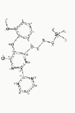 COc1ccccc1Oc1c(Cl)nc(-c2ncccn2)nc1OCCO[Si](C)(C)C